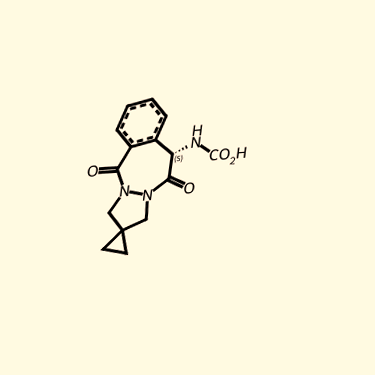 O=C(O)N[C@@H]1C(=O)N2CC3(CC3)CN2C(=O)c2ccccc21